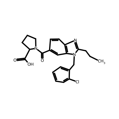 CCCc1nc2ccc(C(=O)N3CCCC3C(=O)O)cc2n1Cc1ccccc1Cl